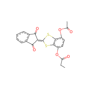 CCC(=O)Oc1ccc(OC(C)=O)c2c1SC(=C1C(=O)c3ccccc3C1=O)S2